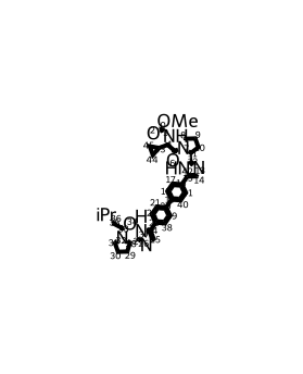 COC(=O)NC(C(=O)N1CCC[C@H]1c1ncc(-c2ccc(-c3ccc(-c4cnc([C@@H]5CCCN5C(=O)CC(C)C)[nH]4)cc3)cc2)[nH]1)C1CC1